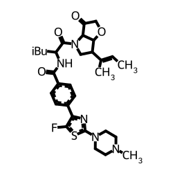 CC=C(C)C1CN(C(=O)C(NC(=O)c2ccc(-c3nc(N4CCN(C)CC4)sc3F)cc2)C(C)CC)C2C(=O)COC12